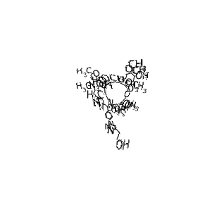 CC[C@H]1OC(=O)[C@H](C)[C@@H](O[C@H]2C[C@@](C)(OC)[C@@H](O)[C@H](C)O2)[C@H](C)[C@@H](O[C@@H]2O[C@H](C)C[C@H](N(C)CCC3=CC(Cc4ccc(-n5cc(CCO)nn5)cc4)N=N3)[C@H]2O)[C@](C)(O)C[C@@H](C)CN(C)[C@H](C)[C@@H](O)[C@]1(C)O